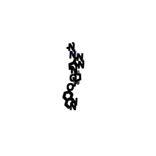 CN(C)/C=N/c1ncnc2c1ccn2[C@H]1CC[C@@H](COc2ccc3ccnnc3c2)O1